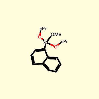 CCCO[Si](OC)(OCCC)c1cccc2ccccc12